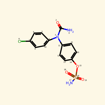 NC(=O)N(c1ccc(Cl)cc1)c1ccc(OS(N)(=O)=O)cc1